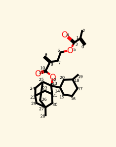 C=C(C)C(=O)OCCC(=C)C(=O)OC1(C2CCCC(C)C2)C2CC3CC1CC(C)(C3)C2